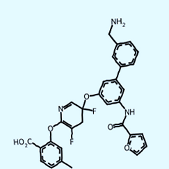 Cc1ccc(C(=O)O)c(OC2=C(F)CC(F)(Oc3cc(NC(=O)c4ccco4)cc(-c4cccc(CN)c4)c3)C=N2)c1